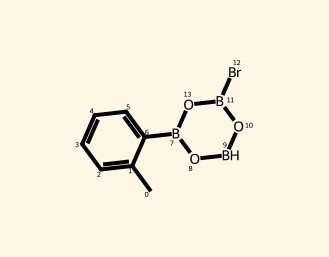 Cc1ccccc1B1OBOB(Br)O1